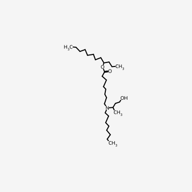 CCCCCCCCC(CCC)OC(=O)CCCCCCCN(CCCCCCCC)C(C)CCO